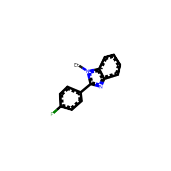 CCn1c(-c2ccc(F)cc2)nc2ccccc21